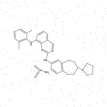 Cc1cccc(C)c1Nc1cccc2cnc(Nc3ccc4c(c3)CCC(N3CCCC3)CC4)nc12.N[SH](=O)=O